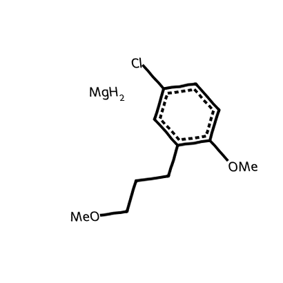 COCCCc1cc(Cl)ccc1OC.[MgH2]